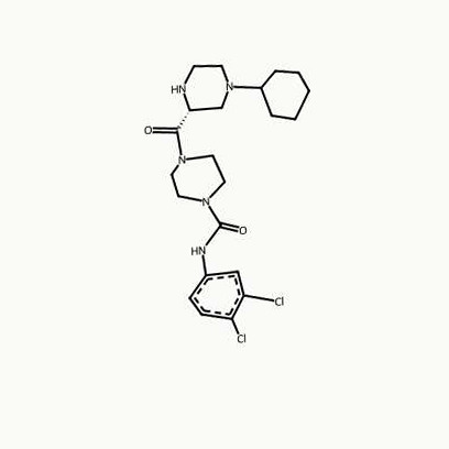 O=C(Nc1ccc(Cl)c(Cl)c1)N1CCN(C(=O)[C@H]2CN(C3CCCCC3)CCN2)CC1